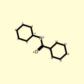 O=C([N]C1CCCCC1)C1CCCCC1